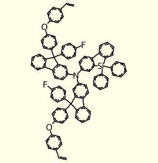 C=Cc1ccc(Oc2ccc(C3(c4ccc(F)cc4)c4ccccc4-c4ccc(N(c5ccc6c(c5)C(c5ccc(F)cc5)(c5ccc(Oc7ccc(C=C)cc7)cc5)c5ccccc5-6)c5ccc6c(c5)[Si](c5ccccc5)(c5ccccc5)c5ccccc5-6)cc43)cc2)cc1